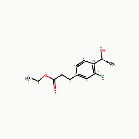 CCOC(=O)CCc1ccc([C@H](C)O)c(Cl)c1